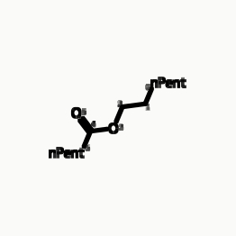 [CH2]CCCCCCOC(=O)CCCCC